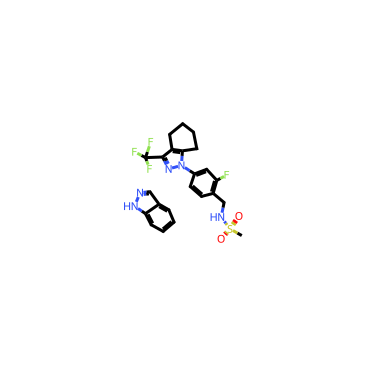 CS(=O)(=O)NCc1ccc(-n2nc(C(F)(F)F)c3c2CCCC3)cc1F.c1ccc2[nH]ncc2c1